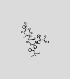 C=C(C)C(=O)Oc1ccc(-c2ccc(OC)cc2)cc1OC(=O)C(=C)C